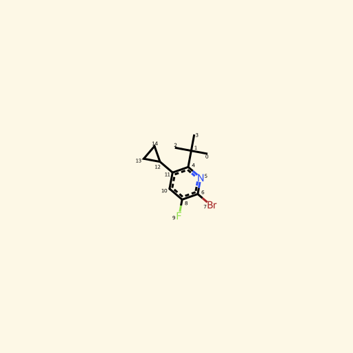 CC(C)(C)c1nc(Br)c(F)cc1C1CC1